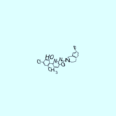 Cc1cc(Cl)cc(O)c1-c1ccc2oc(N3CCc4ccc(F)cc4C3)nc2n1